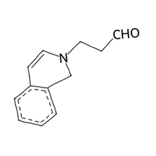 O=CCCN1C=Cc2ccccc2C1